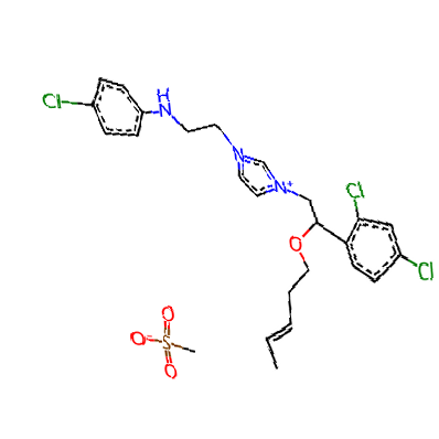 CC=CCCOC(C[n+]1ccn(CCNc2ccc(Cl)cc2)c1)c1ccc(Cl)cc1Cl.CS(=O)(=O)[O-]